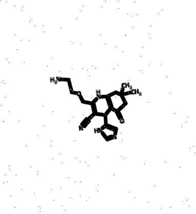 CC1(C)CC(=O)C2=C(C1)NC(COCCN)=C(C#N)C2c1cnc[nH]1